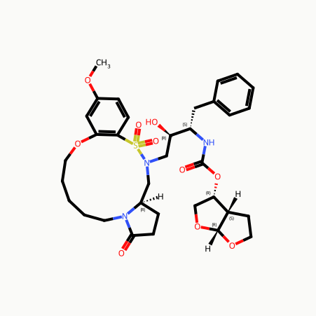 COc1ccc2c(c1)OCCCCCN1C(=O)CC[C@@H]1CN(C[C@@H](O)[C@H](Cc1ccccc1)NC(=O)O[C@H]1CO[C@H]3OCC[C@H]31)S2(=O)=O